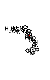 CC(C)(Cc1ccc(-c2cccc3nc(-c4ncc(S(N)(=O)=O)s4)nc(NCc4ccccn4)c23)cc1)NS(=O)(=O)c1cnc(-c2nc(NCc3ccccn3)c3c(-c4ccccc4)cccc3n2)s1